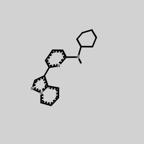 CN(c1cccc(-c2cnn3ccccc23)n1)C1CCCCC1